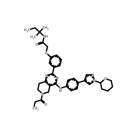 CCC(=O)N1CCc2nc(-c3cccc(OCC(=O)NC(C)(C)CC)c3)nc(Nc3ccc(-c4cnn(C5CCCCO5)c4)cc3)c2C1